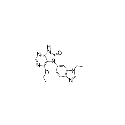 CCOc1ncnc2[nH]c(=O)n(-c3ccc4ncn(CC)c4c3)c12